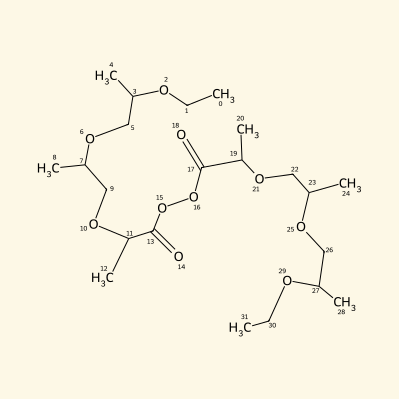 CCOC(C)COC(C)COC(C)C(=O)OOC(=O)C(C)OCC(C)OCC(C)OCC